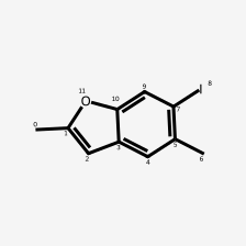 Cc1cc2cc(C)c(I)cc2o1